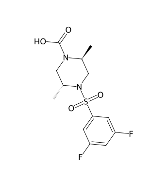 C[C@@H]1CN(C(=O)O)[C@@H](C)CN1S(=O)(=O)c1cc(F)cc(F)c1